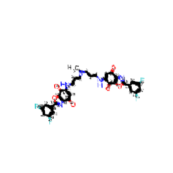 CN(CCCNC1=CC(=O)c2nc(-c3cc(F)cc(F)c3)oc2C1=O)CCCNC1=CC(=O)c2nc(-c3cc(F)cc(F)c3)oc2C1=O